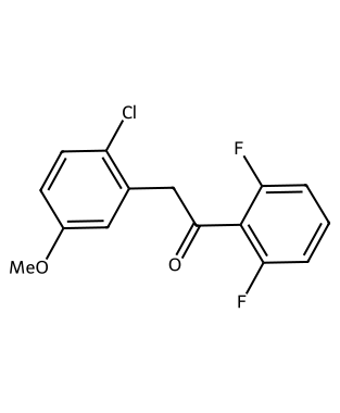 COc1ccc(Cl)c(CC(=O)c2c(F)cccc2F)c1